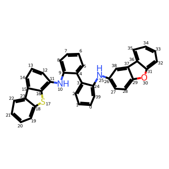 c1ccc(-c2ccccc2Nc2cccc3c2sc2ccccc23)c(Nc2ccc3oc4ccccc4c3c2)c1